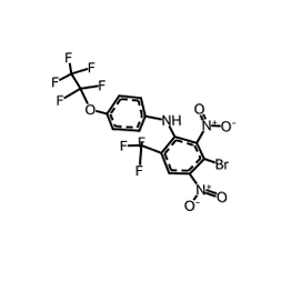 O=[N+]([O-])c1cc(C(F)(F)F)c(Nc2ccc(OC(F)(F)C(F)(F)F)cc2)c([N+](=O)[O-])c1Br